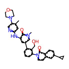 Cc1cc(Nc2cc(-c3cccc(-n4ccc5cc(C6CC6)ccc5c4=O)c3CO)cn(C)c2=O)ncc1N1CCOCC1